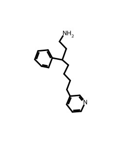 NCCC(CCCCc1cccnc1)c1ccccc1